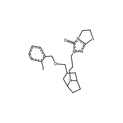 O=c1n(CCCN2C3CCC2CC(COCc2ccccc2F)C3)nc2n1CCS2